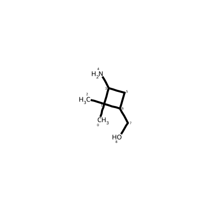 CC1(C)C(N)CC1CO